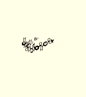 CCn1c(CNC(=O)c2nc3cc[nH]c3nc2N)[n+](CC)c2ccc(C(=O)NC3CCN(C(=O)OC(C)(C)C)CC3)cc21.[Br-]